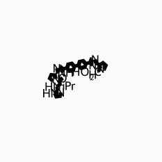 CC(C)[C@H](NC1=NCCN1)C(=O)N1CCC[C@H]1c1ncc(-c2ccc(-c3ccc(-c4cnc(C5CCCN5C(=O)O)[nH]4)cc3)cc2)[nH]1